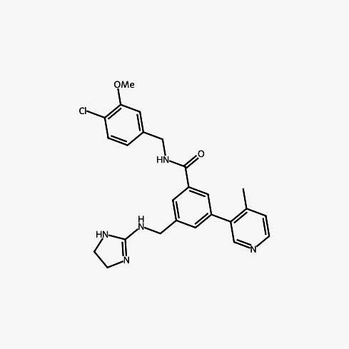 COc1cc(CNC(=O)c2cc(CNC3=NCCN3)cc(-c3cnccc3C)c2)ccc1Cl